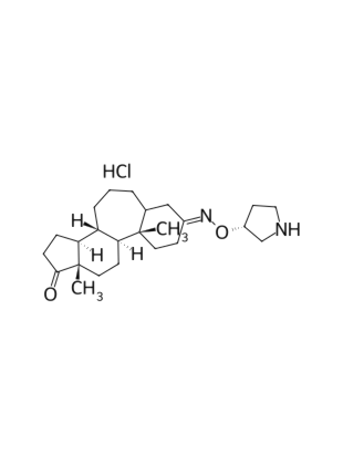 C[C@]12CC/C(=N\O[C@@H]3CCNC3)CC1CCC[C@@H]1[C@@H]2CC[C@]2(C)C(=O)CC[C@@H]12.Cl